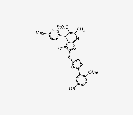 CCOC(=O)C1=C(C)N=c2s/c(=C\c3ccc(-c4cc(N=O)ccc4OC)o3)c(=O)n2C1c1ccc(SC)cc1